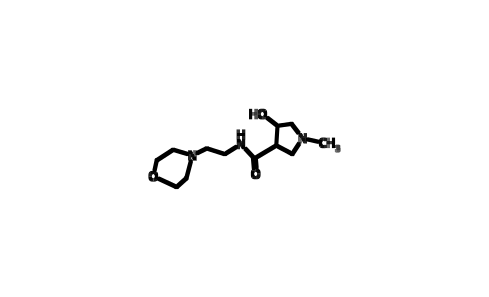 CN1CC(O)C(C(=O)NCCN2CCOCC2)C1